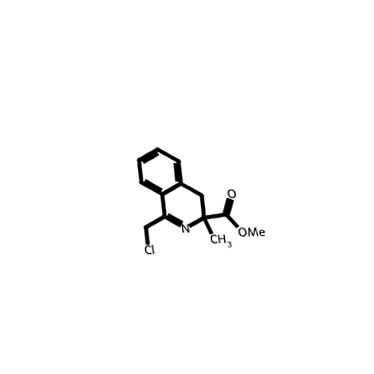 COC(=O)C1(C)Cc2ccccc2C(CCl)=N1